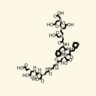 O=C(O)CC[C@H](NC(=O)N[C@@H](CCC(=O)NCCNC(=O)CC[C@@H](NC(=O)C(Cc1ccccc1)NC(=O)C(Cc1ccccc1)NC(=O)CN(CCN(CCN(CC(=O)O)CC(=O)O)CC(=O)O)CC(=O)O)C(=O)O)C(=O)O)C(=O)O